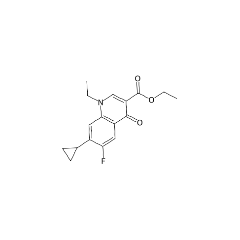 CCOC(=O)c1cn(CC)c2cc(C3CC3)c(F)cc2c1=O